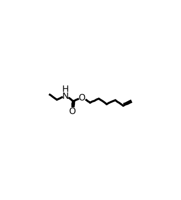 C=CCCCCOC(=O)NCC